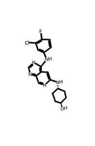 O[C@H]1CC[C@H](Nc2cc3c(Nc4ccc(F)c(Cl)c4)ncnc3cn2)CC1